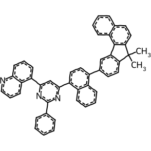 CC1(C)c2ccc(-c3ccc(-c4cc(-c5cccc6ncccc56)nc(-c5ccccc5)n4)c4ccccc34)cc2-c2c1ccc1ccccc21